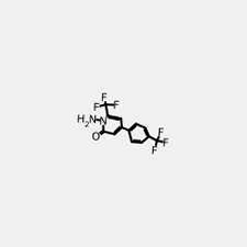 Nn1c(C(F)(F)F)cc(-c2ccc(C(F)(F)F)cc2)cc1=O